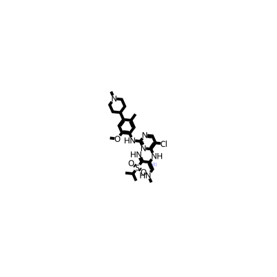 CN/C=C(/Nc1nc(Nc2cc(C)c(C3CCN(C)CC3)cc2OC)ncc1Cl)C(=N)S(=O)(=O)C(C)C